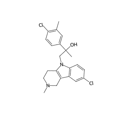 Cc1cc(C(C)(O)Cn2c3c(c4cc(Cl)ccc42)CN(C)CC3)ccc1Cl